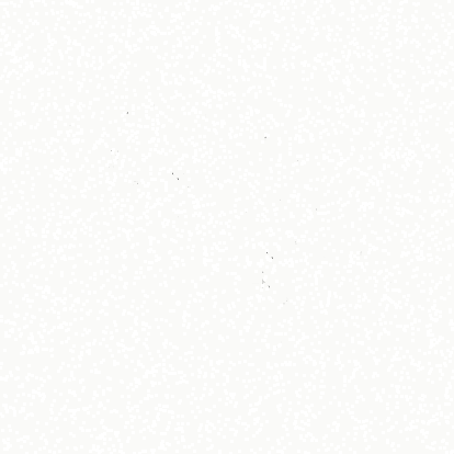 O=C(c1cc(Cc2n[nH]c(=O)c3ccccc23)ccc1F)N1CCc2cccn2C1